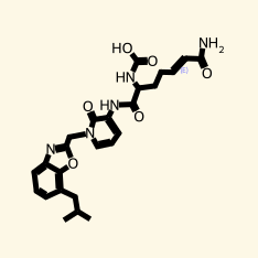 CC(C)Cc1cccc2nc(Cn3cccc(NC(=O)C(CC/C=C/C(N)=O)NC(=O)O)c3=O)oc12